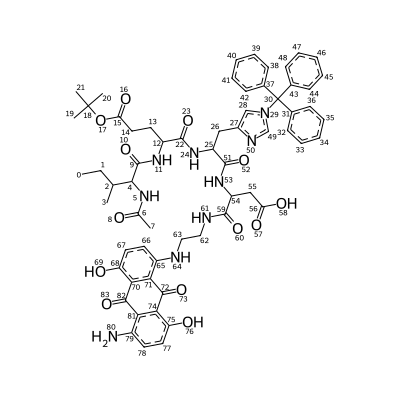 CCC(C)C(NC(C)=O)C(=O)NC(CCC(=O)OC(C)(C)C)C(=O)NC(Cc1cn(C(c2ccccc2)(c2ccccc2)c2ccccc2)cn1)C(=O)NC(CC(=O)O)C(=O)NCCNc1ccc(O)c2c1C(=O)c1c(O)ccc(N)c1C2=O